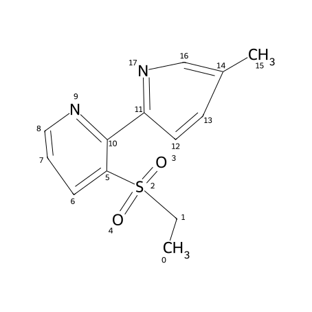 CCS(=O)(=O)c1cccnc1-c1ccc(C)cn1